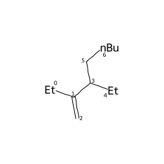 [CH2]CC(=C)C(CC)CCCCC